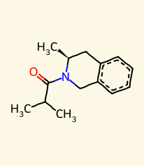 CC(C)C(=O)N1Cc2ccccc2C[C@@H]1C